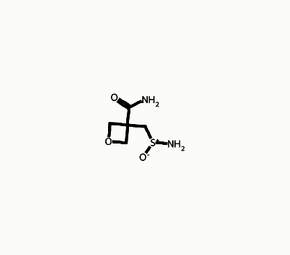 NC(=O)C1(C[S+](N)[O-])COC1